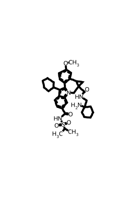 COc1ccc2c(c1)C1CC1(C(=O)NCC1(N)CCCCC1)Cn1c-2c(C2CCCCC2)c2ccc(C(=O)NS(=O)(=O)C(C)C)cc21